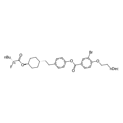 CCCCCCCCCCCCOc1ccc(C(=O)Oc2ccc(CC[C@H]3CC[C@H](OC(=O)[C@H](F)CCCC)CC3)cc2)cc1Br